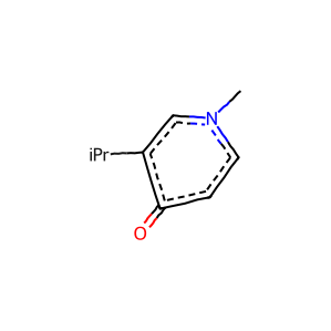 CC(C)c1cn(C)ccc1=O